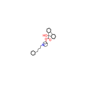 O=C(OC1C[N+]2(CCCCc3ccccc3)CCC1CC2)C1(O)c2ccccc2-c2ccccc21